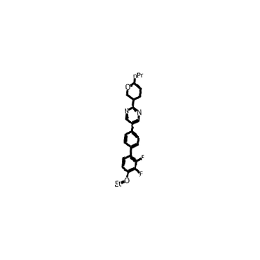 CCCC1CCC(c2ncc(-c3ccc(-c4ccc(OCC)c(F)c4F)cc3)cn2)CO1